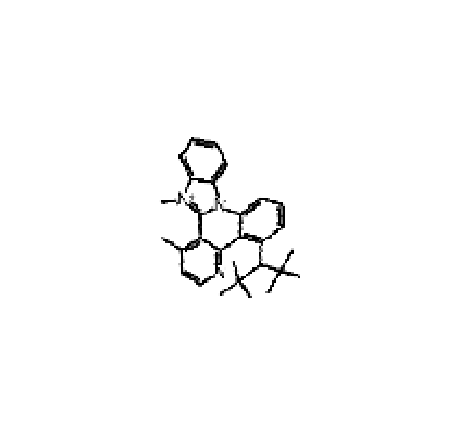 Cc1ccnc2c3c(C(C(C)(C)C)C(C)(C)C)cccc3n3c4ccccc4[n+](C)c3c12